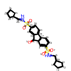 O=C1c2cc(S(=O)(=O)NCC3CCCC3)ccc2-c2ccc(S(=O)(=O)NCC3CCCC3)cc21